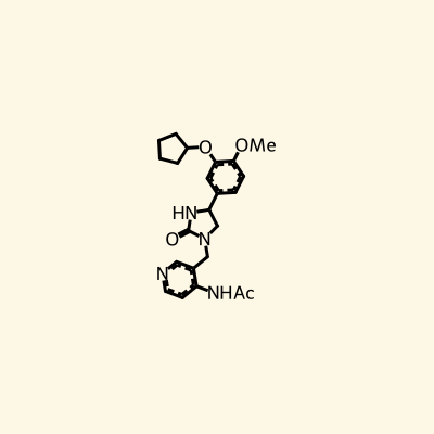 COc1ccc(C2CN(Cc3cnccc3NC(C)=O)C(=O)N2)cc1OC1CCCC1